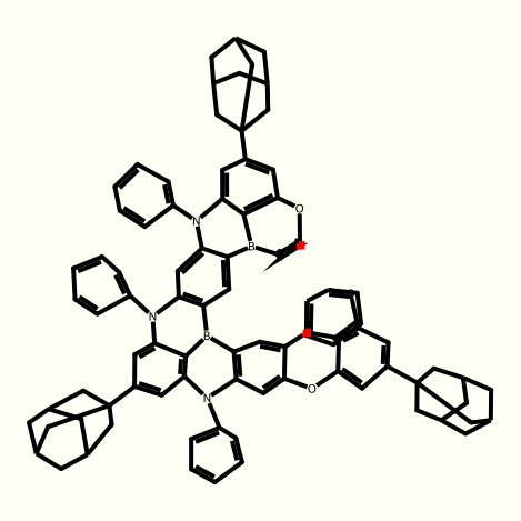 c1ccc(N2c3cc4c(cc3B3c5ccccc5Oc5cc(C67CC8CC(CC(C8)C6)C7)cc2c53)B2c3cc5c(cc3N(c3ccccc3)c3cc(C67CC8CC(CC(C8)C6)C7)cc(c32)N4c2ccccc2)Oc2cc(C34CC6CC(CC(C6)C3)C4)cc3c2B5c2ccccc2O3)cc1